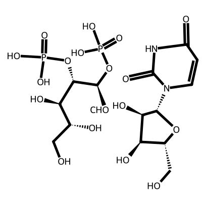 O=C[C@H](OP(=O)(O)O)[C@@H](OP(=O)(O)O)[C@H](O)[C@H](O)CO.O=c1ccn([C@@H]2O[C@H](CO)[C@@H](O)[C@H]2O)c(=O)[nH]1